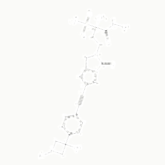 CC(=O)N1CC(O)(c2ccc(C#Cc3cc4n(c3)C(=O)N(CC[C@](C)(C(=O)NO)S(C)(=O)=O)C4)cc2)C1